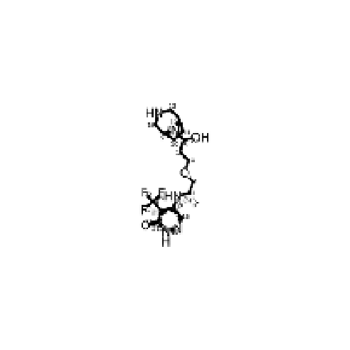 C[C@@H](COCCC(O)N1C2CCC1CNC2)Nc1cn[nH]c(=O)c1C(F)(F)F